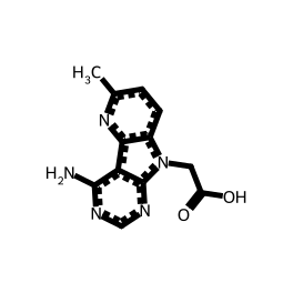 Cc1ccc2c(n1)c1c(N)ncnc1n2CC(=O)O